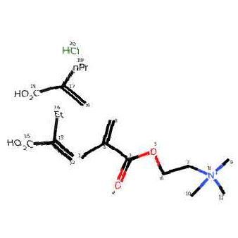 C=C(C)C(=O)OCC[N+](C)(C)C.C=C(CC)C(=O)O.C=C(CCC)C(=O)O.Cl